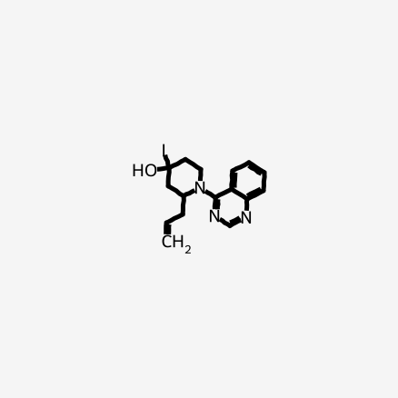 C=CCC1CC(O)(I)CCN1c1ncnc2ccccc12